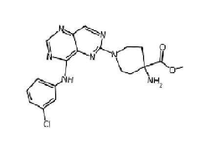 COC(=O)C1(N)CCN(c2ncc3ncnc(Nc4cccc(Cl)c4)c3n2)CC1